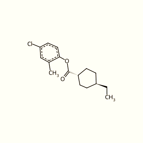 CC[C@H]1CC[C@H](C(=O)Oc2ccc(Cl)cc2C)CC1